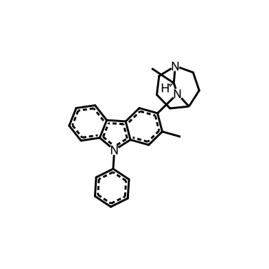 Cc1cc2c(cc1N1C3CCCN(CC3)[C@@H]1C)c1ccccc1n2-c1ccccc1